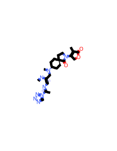 C=N/C(=C\N=C(/C)n1cnnn1)CN(C)[C@H]1CC[C@]2(CCN(C3=C(C)C(=O)OC3)C2=O)CC1